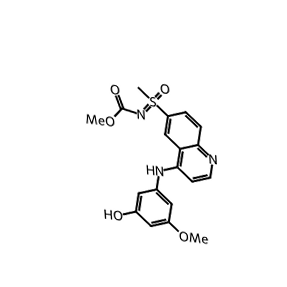 COC(=O)N=S(C)(=O)c1ccc2nccc(Nc3cc(O)cc(OC)c3)c2c1